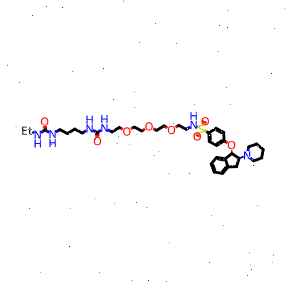 CCNC(=O)NCCCCNC(=O)NCCOCCOCCOCCNS(=O)(=O)c1ccc(O[C@H]2c3ccccc3C[C@@H]2N2CCCCC2)cc1